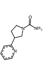 NC(=O)N1CCC(c2ccccn2)C1